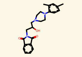 Cc1ccc(N2CCN(CC(O)CN3C(=O)c4ccccc4C3=O)CC2)c(C)c1